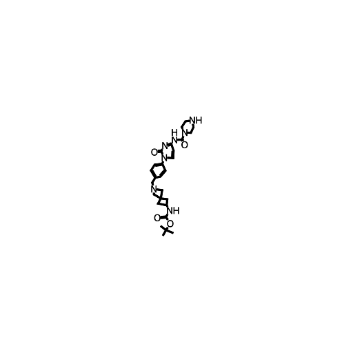 CC(C)(C)OC(=O)NC1CC2(C1)CN(Cc1ccc(-n3ccc(NC(=O)N4CCNCC4)nc3=O)cc1)C2